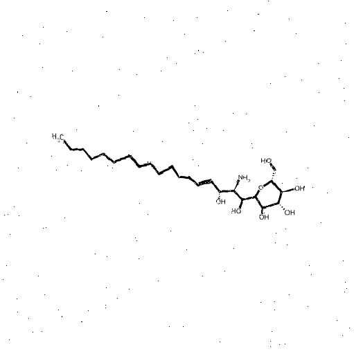 CCCCCCCCCCCCC/C=C/[C@@H](O)[C@@H](N)C(O)C1O[C@H](CO)[C@@H](O)[C@H](O)[C@H]1O